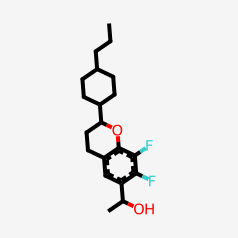 CCCC1CCC(C2CCc3cc(C(C)O)c(F)c(F)c3O2)CC1